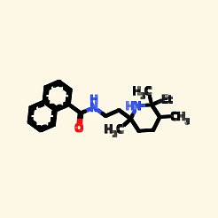 CCC1(C)NC(C)(CCNC(=O)c2cccc3ccccc23)CCC1C